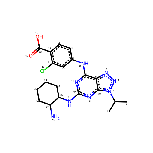 CC(C)n1nnc2c(Nc3ccc(C(=O)O)c(Cl)c3)nc(NC3CCCCC3N)nc21